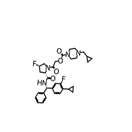 O=C(N[C@@H](c1ccccc1)c1ccc(C2CC2)c(F)c1)[C@@H]1C[C@@H](F)CN1C(=O)COC(=O)N1CCN(CC2CC2)CC1